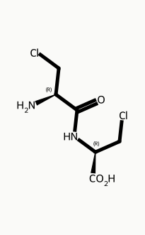 N[C@@H](CCl)C(=O)N[C@@H](CCl)C(=O)O